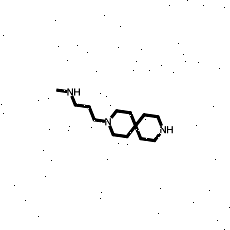 CNCCCN1CCC2(CCNCC2)CC1